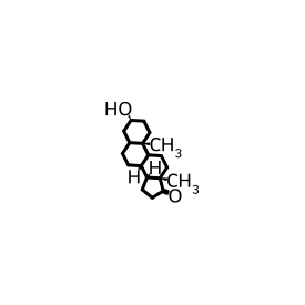 C[C@]12CC[C@@H](O)CC1CC[C@@H]1C2CC[C@]2(C)C(=O)CC[C@@H]12